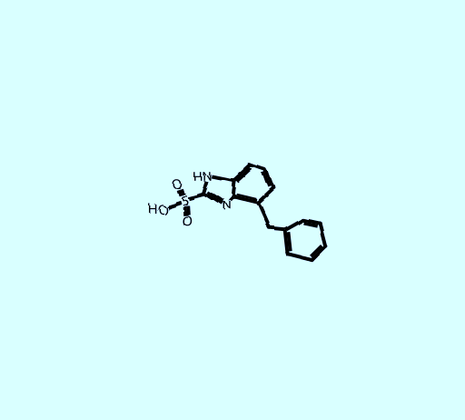 O=S(=O)(O)c1nc2c(Cc3ccccc3)cccc2[nH]1